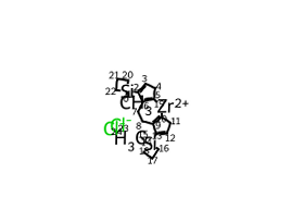 C[Si]1(C2=CC[C]3=C2CCC2=[C](CC=C2[Si]2(C)CCC2)[Zr+2]3)CCC1.[Cl-].[Cl-]